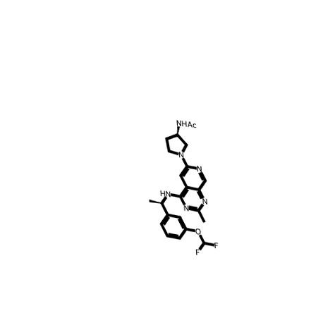 CC(=O)N[C@@H]1CCN(c2cc3c(N[C@H](C)c4cccc(OC(F)F)c4)nc(C)nc3cn2)C1